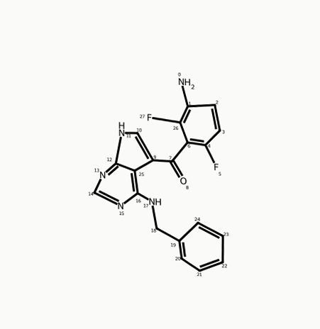 Nc1ccc(F)c(C(=O)c2c[nH]c3ncnc(NCc4ccccc4)c23)c1F